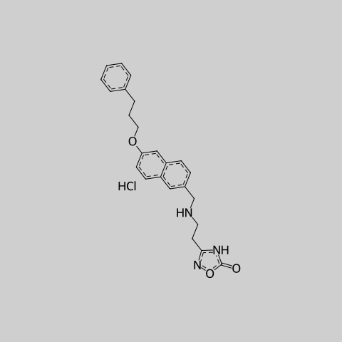 Cl.O=c1[nH]c(CCNCc2ccc3cc(OCCCc4ccccc4)ccc3c2)no1